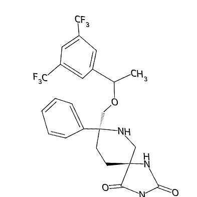 CC(OC[C@@]1(c2ccccc2)CC[C@@]2(CN1)NC(=O)NC2=O)c1cc(C(F)(F)F)cc(C(F)(F)F)c1